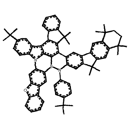 CC(C)(C)c1ccc(N2B3c4cc5c(cc4-n4c6ccc(C(C)(C)C)cc6c6c7c(c(c3c64)-c3cc4c(cc32)C(C)(C)c2cc3c(cc2-4)C(C)(C)CCC3(C)C)C(C)(C)c2ccccc2-7)oc2ccccc25)cc1